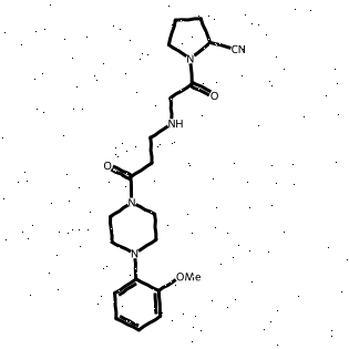 COc1ccccc1N1CCN(C(=O)CCNCC(=O)N2CCCC2C#N)CC1